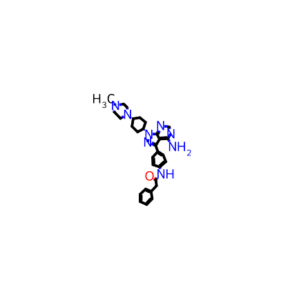 CN1CCN([C@H]2CC[C@@H](n3nc(-c4ccc(NC(=O)Cc5ccccc5)cc4)c4c(N)ncnc43)CC2)CC1